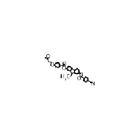 CCC1c2cc(OC(=O)c3ccc(C#N)cc3)ccc2-c2ccc(OC(=O)c3ccc(OCCC4CO4)cc3)cc21